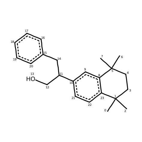 CC1(C)CCC(C)(C)c2cc(C(CO)Cc3ccccc3)ccc21